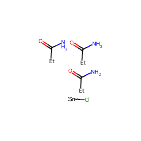 CCC(N)=O.CCC(N)=O.CCC(N)=O.[Cl][Sn]